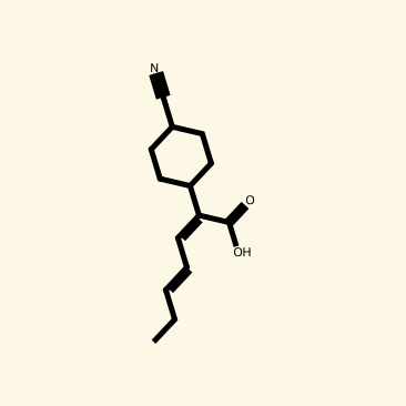 CCC=CC=C(C(=O)O)C1CCC(C#N)CC1